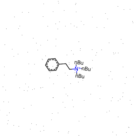 CCCC[N+](CCCC)(CCCC)CCc1ccccc1